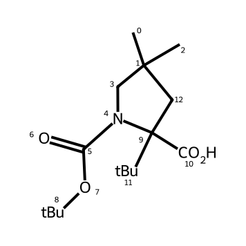 CC1(C)CN(C(=O)OC(C)(C)C)C(C(=O)O)(C(C)(C)C)C1